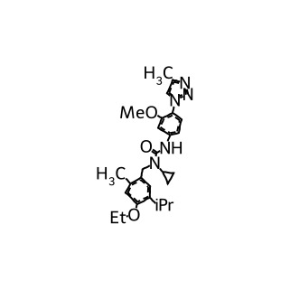 CCOc1cc(C)c(CN(C(=O)Nc2ccc(-n3cc(C)nn3)c(OC)c2)C2CC2)cc1C(C)C